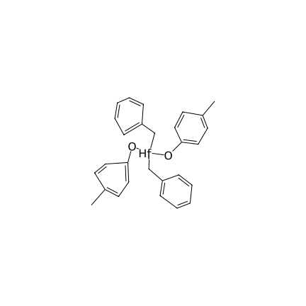 Cc1ccc([O][Hf]([CH2]c2ccccc2)([CH2]c2ccccc2)[O]c2ccc(C)cc2)cc1